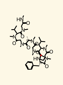 CNC(=O)CN(C)C(=O)C(C(C)C)N(C)C(=O)CN(C)C(=O)[C@H](C)N(C)C(=O)CN(C)C(=C1CCC1)C(CC(C)C)N(C)C(=O)CN(C)C(=O)[C@H](Cc1ccccc1)NC=O